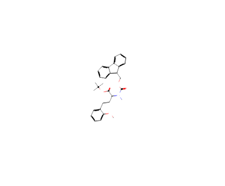 COc1ccccc1CCC(C(=O)OC(C)(C)C)N(C)C(=O)OCC1c2ccccc2-c2ccccc21